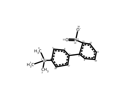 C[Si](C)(C)c1ccc(-c2ccccc2[N+](=O)[O-])cc1